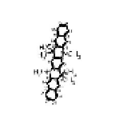 CN1c2cc3c(cc2C(C)(C)c2cc4ccccc4cc21)N(C)c1cc2ccccc2cc1C3(C)C